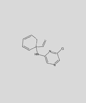 C=CC1(Nc2cncc(Cl)n2)C=CC=CC1